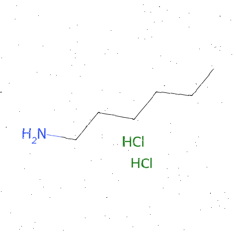 CCCCCCN.Cl.Cl